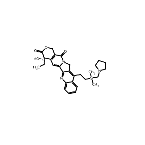 CC[C@@]1(O)C(=O)OCc2c1cc1n(c2=O)Cc2c-1nc1ccccc1c2CC[Si](C)(C)CN1CCCC1